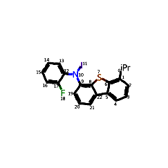 CC(C)c1cccc2c1sc1c(N(I)c3ccccc3F)cccc12